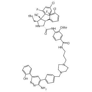 COc1cc(C(=O)NCCCN2CCN(Cc3ccc(-c4cc(-c5ccccc5O)nnc4N)cc3)CC2)ccc1NC(=O)[C@@H]1N[C@@H](CC(C)(C)C)[C@](C#N)(c2ccc(Cl)cc2F)[C@H]1c1cccc(Cl)c1F